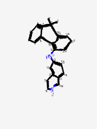 CC1(C)c2ccccc2-c2c(Nc3ccc4cnccc4c3)cccc21